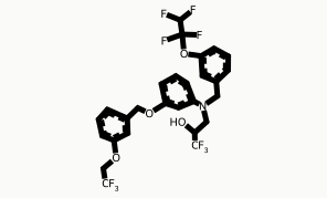 OC(CN(Cc1cccc(OC(F)(F)C(F)F)c1)c1cccc(OCc2cccc(OCC(F)(F)F)c2)c1)C(F)(F)F